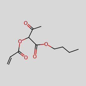 C=CC(=O)OC(C(C)=O)C(=O)OCCCC